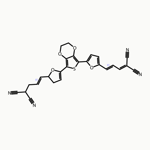 N#CC(C#N)=C/C=C/c1ccc(-c2sc(C3=CCC(/C=C/CC(C#N)C#N)O3)c3c2OCCO3)o1